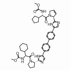 COC(=O)N[C@H](C(=O)N1CC=C[C@H]1c1ncc(-c2ccc(-c3ccc(-c4cnc([C@@H]5CCCN5C(=O)[C@@H](NC(=O)OC)C5CCCCC5)[nH]4)cc3)cc2)[nH]1)C1CCCC1